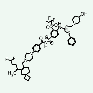 C=C(CCC(F)F)C1=C(CN2CCN(c3ccc(C(=O)NS(=O)(=O)c4ccc(N[C@H](CCN5CCC(O)CC5)CSc5ccccc5)c(S(=O)(=O)C(F)(F)F)c4)cc3)CC2)CCC2(CCC2)C1